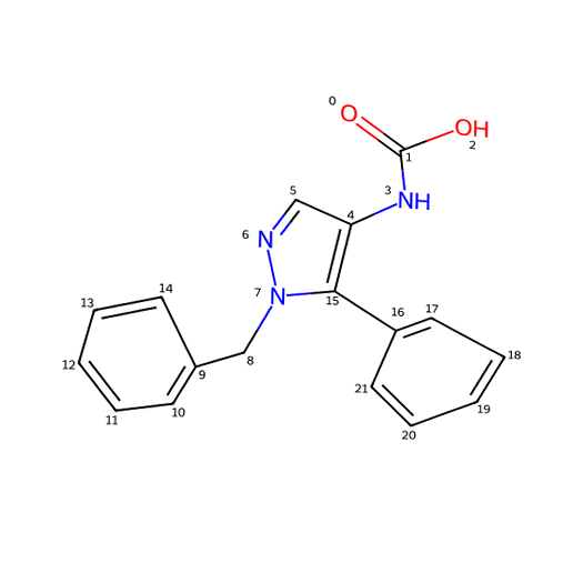 O=C(O)Nc1cnn(Cc2ccccc2)c1-c1ccccc1